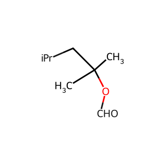 CC(C)CC(C)(C)OC=O